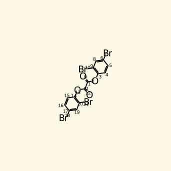 O=C(Oc1ccc(Br)cc1Br)C(=O)Oc1ccc(Br)cc1Br